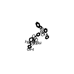 CC(C)(C)OC(=O)[N+]1(OC(=O)c2ccc(NC(=O)c3c(OCc4ccccc4)cccc3OCc3ccccc3)cc2)CCCCC(NC(=O)c2ccc(O)cc2)C1